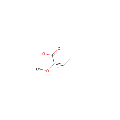 C/C=C(/OCC)C([O])=O